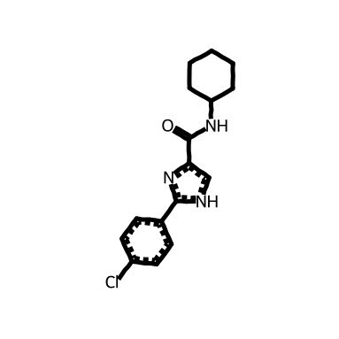 O=C(NC1CCCCC1)c1c[nH]c(-c2ccc(Cl)cc2)n1